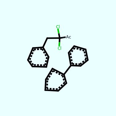 CC(=O)C(Cl)(Cl)Cc1ccccc1.c1ccc(-c2ccccc2)cc1